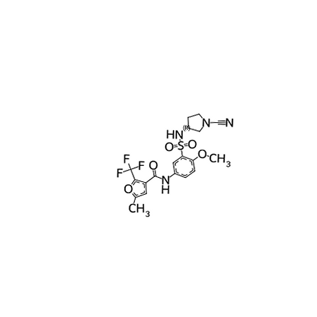 COc1ccc(NC(=O)c2cc(C)oc2C(F)(F)F)cc1S(=O)(=O)N[C@@H]1CCN(C#N)C1